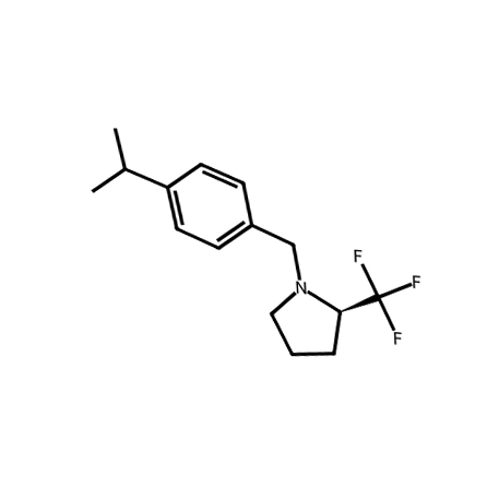 CC(C)c1ccc(CN2CCC[C@@H]2C(F)(F)F)cc1